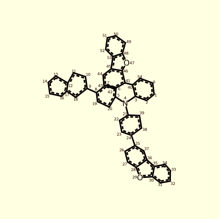 c1ccc(N(c2ccc(-c3ccc4ccccc4c3)cc2)c2ccc(-c3ccc4oc5ccccc5c4c3)cc2)c(-c2cccc3c2oc2ccccc23)c1